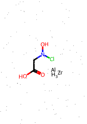 O=C(O)CN(O)Cl.[AlH3].[Zr]